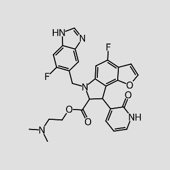 CN(C)CCOC(=O)C1C(c2ccc[nH]c2=O)c2c(cc(F)c3ccoc23)N1Cc1cc2nc[nH]c2cc1F